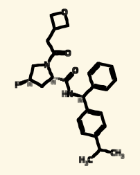 CC(C)c1ccc([C@@H](NC(=O)[C@@H]2C[C@@H](F)CN2C(=O)CC2COC2)c2ccccc2)cc1